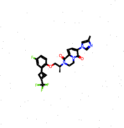 Cc1cn(-c2ccc3n(c2=O)CCN([C@@H](C)COc2ccc(F)cc2C24CC(C(F)(F)F)(C2)C4)C3=O)cn1